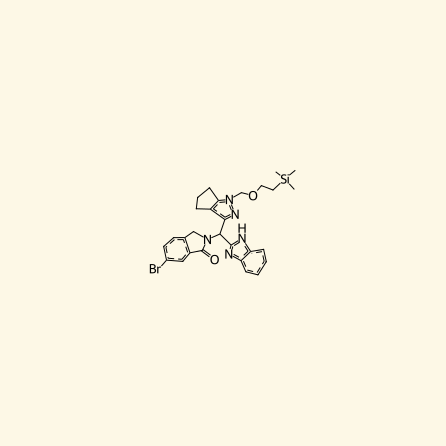 C[Si](C)(C)CCOCn1nc(C(c2nc3ccccc3[nH]2)N2Cc3ccc(Br)cc3C2=O)c2c1CCC2